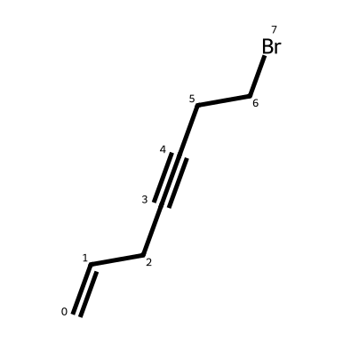 C=CCC#CCCBr